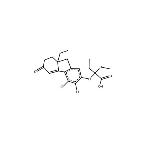 CCC12CCC(=O)C=C1c1c(cc(OC(CC)(OC)C(=O)O)c(Cl)c1Cl)C2